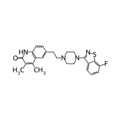 Cc1c(C)c2cc(CCN3CCN(c4nsc5c(F)cccc45)CC3)ccc2[nH]c1=O